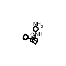 N[C@H]1CC[C@H](NC(=O)C23CC4CC(C2)CC(c2ccccc2)(C4)C3)CC1